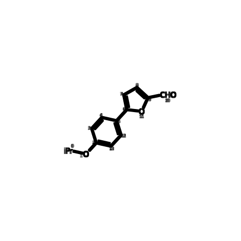 CC(C)Oc1ccc(-c2ccc(C=O)o2)cc1